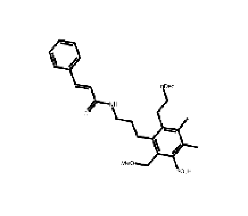 CCCCCCCCCCCCc1c(C)c(C)c(S(=O)(=O)O)c(COC)c1CCCNC(=O)C=Cc1ccccc1